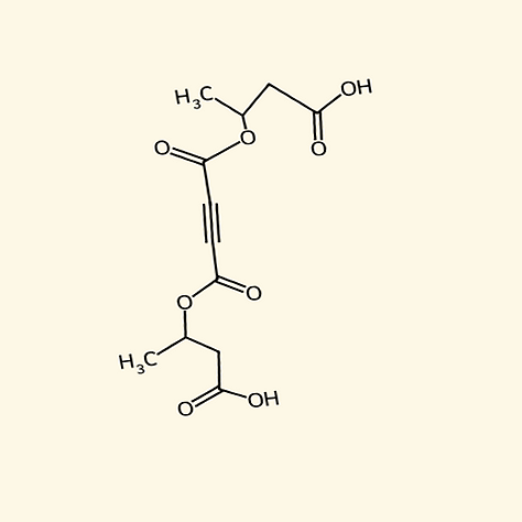 CC(CC(=O)O)OC(=O)C#CC(=O)OC(C)CC(=O)O